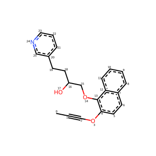 CC#COc1ccc2ccccc2c1OCC(O)CCc1cccnc1